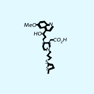 COc1ccc2nccc([C@@H](O)CC[C@@H]3CCN(CCCSc4ccc(C)s4)C[C@@H]3CC(=O)O)c2c1